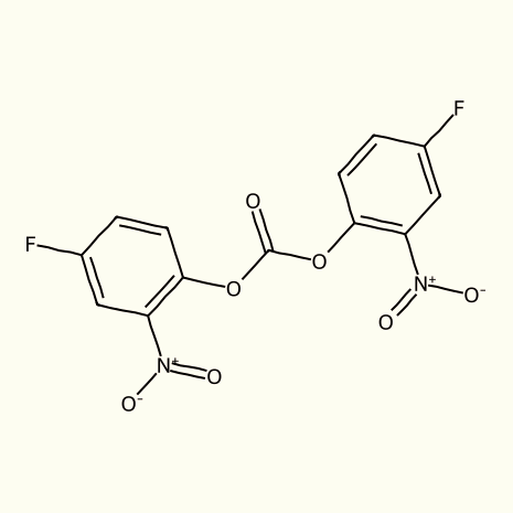 O=C(Oc1ccc(F)cc1[N+](=O)[O-])Oc1ccc(F)cc1[N+](=O)[O-]